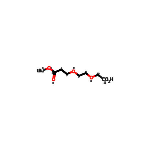 CC(C)(C)OC(=O)CCOCCOCC(=O)O